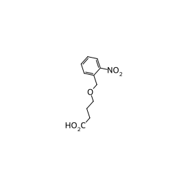 O=C(O)CCCOCc1ccccc1[N+](=O)[O-]